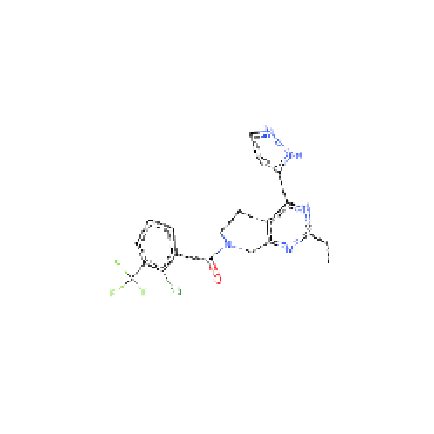 CCc1nc2c(c(-c3ccn[nH]3)n1)CCN(C(=O)c1cccc(C(F)(F)F)c1Cl)C2